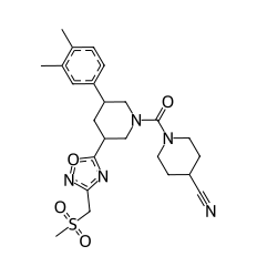 Cc1ccc(C2CC(c3nc(CS(C)(=O)=O)no3)CN(C(=O)N3CCC(C#N)CC3)C2)cc1C